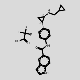 O=C(Nc1ccc([C@@H]2C[C@H]2NCC2CC2)cc1)c1ccc2[nH]ccc2c1.O=C(O)C(F)(F)F